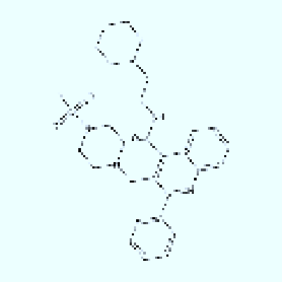 CS(=O)(=O)N1CCN(Cc2c(-c3ccccc3)nc3ccccc3c2C(=O)NCCC2CCCCC2)CC1